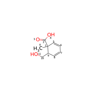 CC1(C(=O)O)C=CC=CC1CO